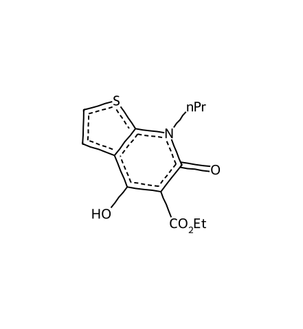 CCCn1c(=O)c(C(=O)OCC)c(O)c2ccsc21